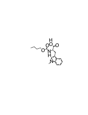 CCCCOC(=O)N[C@H](Cc1cn(C)c2ccccc12)C(=O)O